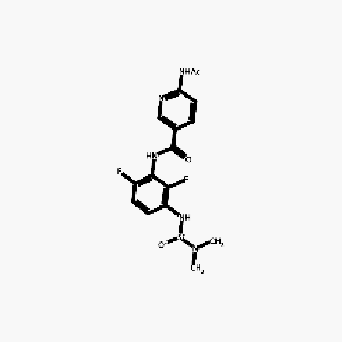 CC(=O)Nc1ccc(C(=O)Nc2c(F)ccc(N[S+]([O-])N(C)C)c2F)cn1